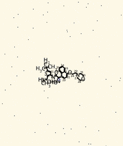 CNC(=O)c1sc(C(C)(C)C)cc1NC(=O)/C(=N\O)c1ccc(OCCN2CCOCC2)c2ccccc12